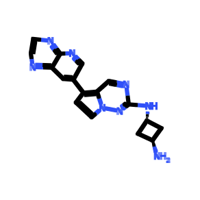 N[C@H]1C[C@H](Nc2ncc3c(-c4cnc5nccnc5c4)ccn3n2)C1